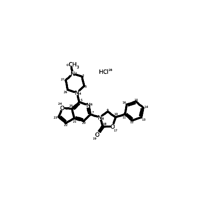 CN1CCN(c2nc(N3CC(c4ccccc4)OC3=O)cc3ccoc23)CC1.Cl